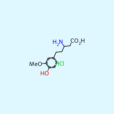 COc1cc(CCC(N)CC(=O)O)ccc1O.Cl